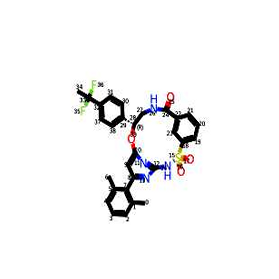 Cc1cccc(C)c1-c1cc2nc(n1)NS(=O)(=O)c1cccc(c1)C(=O)NC[C@@H](c1ccc(C(C)(F)F)cc1)O2